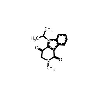 CC(C)n1c2c(c3ccccc31)C(=O)N(C)CC2=O